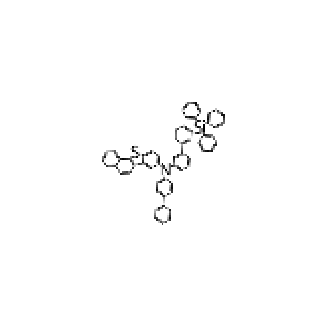 c1ccc(-c2ccc(N(c3cccc(-c4cccc([Si](c5ccccc5)(c5ccccc5)c5ccccc5)c4)c3)c3ccc4sc5c6ccccc6ccc5c4c3)cc2)cc1